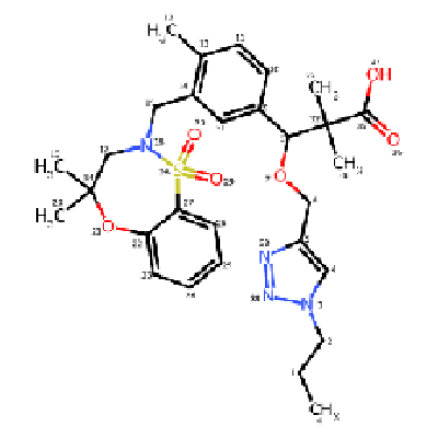 CCCn1cc(COC(c2ccc(C)c(CN3CC(C)(C)Oc4ccccc4S3(=O)=O)c2)C(C)(C)C(=O)O)nn1